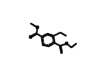 C=C(OCC)c1ccc(C(=O)OC)cc1CC